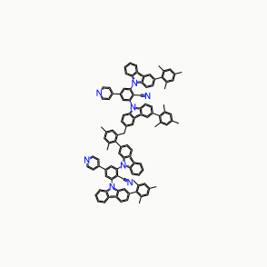 Cc1cc(C)c(-c2ccc3c(c2)c2ccccc2n3-c2cc(-c3ccncc3)cc(-n3c4ccc(Cc5cc(C)cc(C)c5-c5ccc6c7ccccc7n(-c7cc(-c8ccncc8)cc(-n8c9ccccc9c9ccc(-c%10c(C)cc(C)cc%10C)cc98)c7C#N)c6c5)cc4c4cc(-c5c(C)cc(C)cc5C)ccc43)c2C#N)c(C)c1